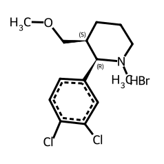 Br.COC[C@H]1CCCN(C)[C@H]1c1ccc(Cl)c(Cl)c1